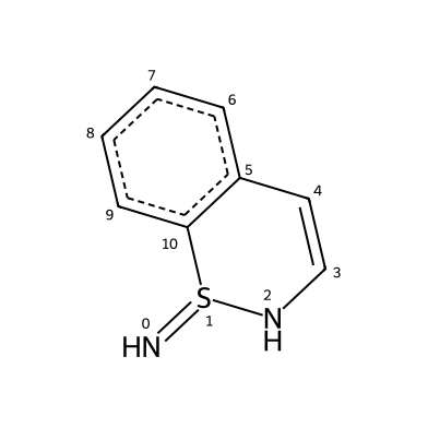 N=S1NC=Cc2ccccc21